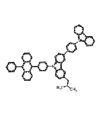 CC(C)Cc1ccc2c(c1)c1cc(-c3ccc(-n4c5ccccc5c5ccccc54)cc3)ccc1n2-c1ccc(-c2c3ccccc3c(-c3ccccc3)c3ccccc23)cc1